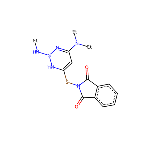 CCNN1N=C(N(CC)CC)C=C(SN2C(=O)c3ccccc3C2=O)N1